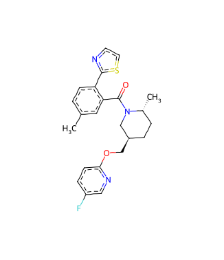 Cc1ccc(-c2nccs2)c(C(=O)N2C[C@H](COc3ccc(F)cn3)CC[C@H]2C)c1